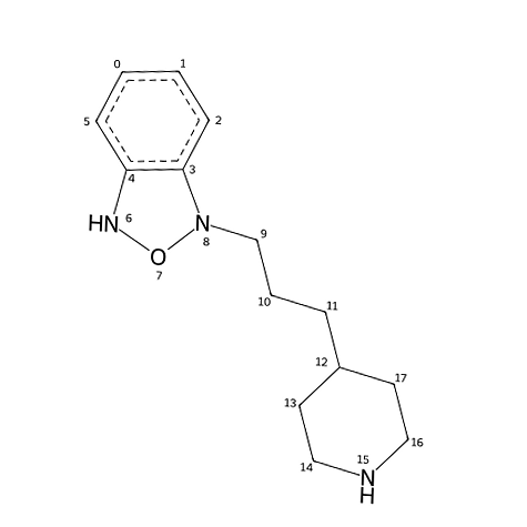 c1ccc2c(c1)NON2CCCC1CCNCC1